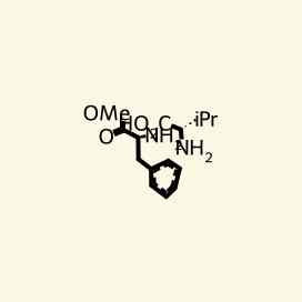 CC(C)[C@H](N)C(=O)O.COC(=O)[C@@H](N)Cc1ccccc1